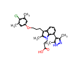 Cc1cc(OCCCc2c(C)n(CCC(=O)O)c3c(-c4c(C)n[nH]c4C)cccc23)cc(C)c1Cl